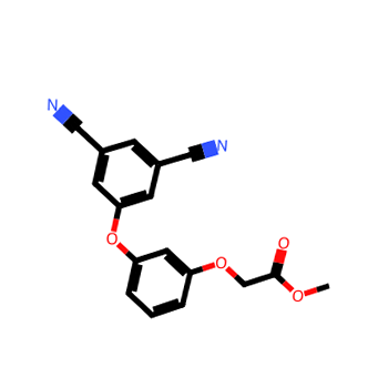 COC(=O)COc1cccc(Oc2cc(C#N)cc(C#N)c2)c1